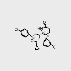 CC(C[C@H](OCC1CC1)c1ccc(Cl)cc1)[C@@H]1NC(=O)CC[C@@H]1c1cccc(Cl)c1